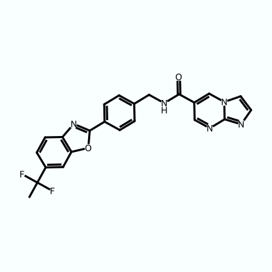 CC(F)(F)c1ccc2nc(-c3ccc(CNC(=O)c4cnc5nccn5c4)cc3)oc2c1